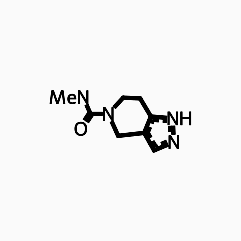 CNC(=O)N1CCc2[nH]ncc2C1